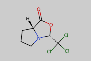 O=C1O[C@H](C(Cl)(Cl)Cl)N2CCC[C@H]12